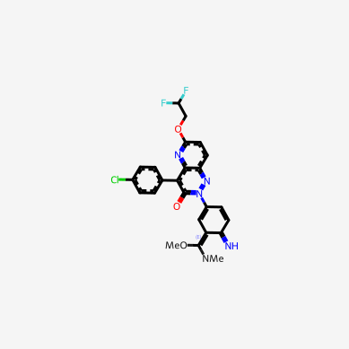 CN/C(OC)=C1/C=C(n2nc3ccc(OCC(F)F)nc3c(-c3ccc(Cl)cc3)c2=O)C=CC1=N